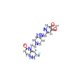 O=c1ccc2ncc(F)cc2n1CCN1CCC(NCc2cc3c(cn2)OCO3)CC1